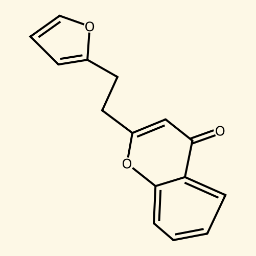 O=c1cc(CCc2ccco2)oc2ccccc12